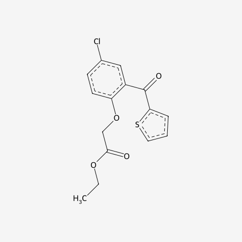 CCOC(=O)COc1ccc(Cl)cc1C(=O)c1cccs1